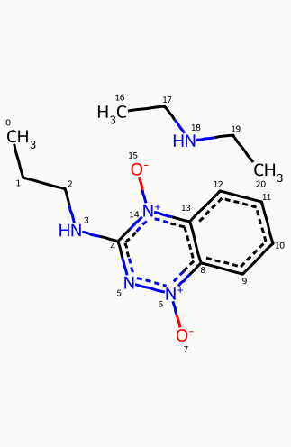 CCCNc1n[n+]([O-])c2ccccc2[n+]1[O-].CCNCC